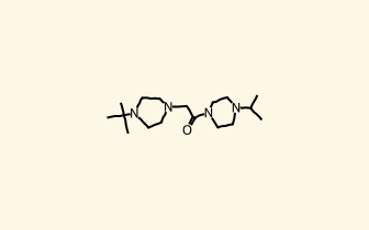 CC(C)N1CCN(C(=O)CN2CCN(C(C)(C)C)CC2)CC1